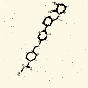 C[C@H](c1cccc(-c2ncc(OCC3CCN(C(=O)OC(C)(C)C)CC3)cn2)c1)n1cccc(F)c1=O